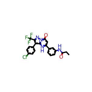 CCC(=O)Nc1cccc(-c2cc(=O)n3nc(C(F)(F)F)c(-c4ccc(Cl)cc4)c3[nH]2)c1